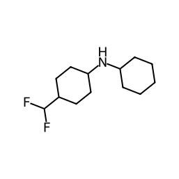 FC(F)C1CCC(NC2CCCCC2)CC1